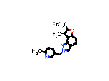 CCOC(=O)c1oc2ccc3cn(Cc4ccc(C)nc4)nc3c2c1C(F)(F)F